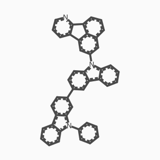 c1ccc(-n2c3ccccc3c3ccc(-c4ccc5c(c4)c4ccccc4n5-c4cc5c6c(cccc6c4)-c4ncccc4-5)cc32)cc1